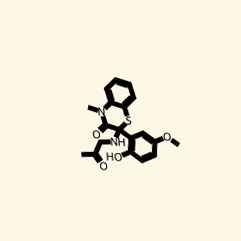 COc1ccc(O)c(C2(NCC(C)=O)Sc3ccccc3N(C)C2=O)c1